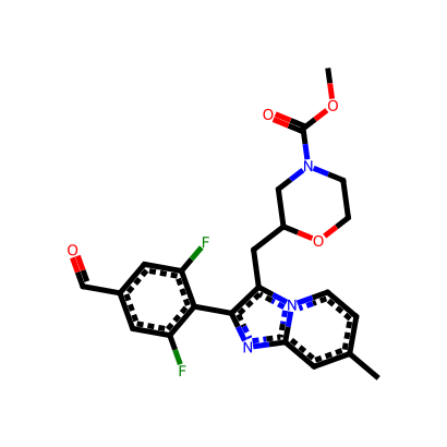 COC(=O)N1CCOC(Cc2c(-c3c(F)cc(C=O)cc3F)nc3cc(C)ccn23)C1